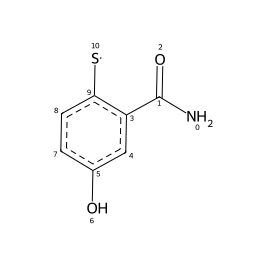 NC(=O)c1cc(O)ccc1[S]